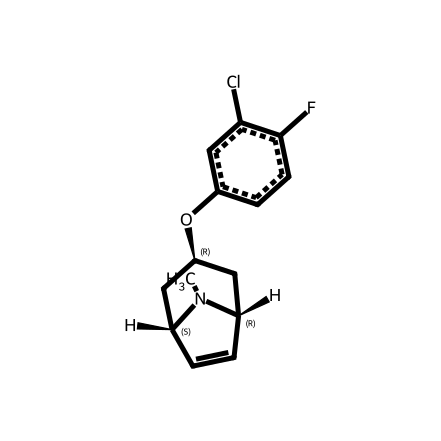 CN1[C@@H]2C=C[C@H]1C[C@H](Oc1ccc(F)c(Cl)c1)C2